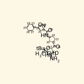 CC(C)(C)[Si](C)(C)OC(C(=O)NN)C(=O)C1CCC(NC(=O)c2cc(-c3ccccc3)on2)C1